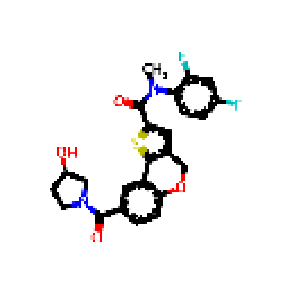 CN(C(=O)c1cc2c(s1)-c1cc(C(=O)N3CC[C@@H](O)C3)ccc1OC2)c1ccc(F)cc1F